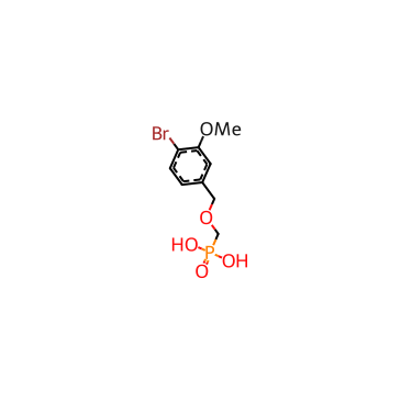 COc1cc(COCP(=O)(O)O)ccc1Br